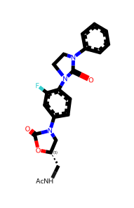 CC(=O)NC[C@H]1CN(c2ccc(N3CCN(c4ccccc4)C3=O)c(F)c2)C(=O)O1